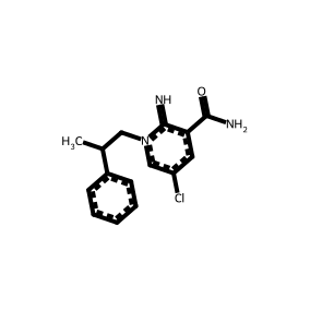 CC(Cn1cc(Cl)cc(C(N)=O)c1=N)c1ccccc1